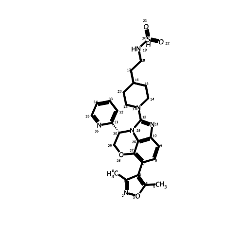 Cc1noc(C)c1-c1ccc2nc(N3CCC(CCN[SH](=O)=O)CC3)n3c2c1OC[C@@H]3c1ccccn1